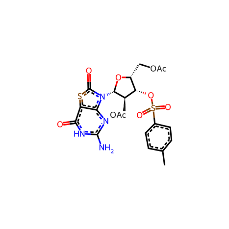 CC(=O)OC[C@H]1O[C@@H](n2c(=O)sc3c(=O)[nH]c(N)nc32)[C@H](OC(C)=O)[C@H]1OS(=O)(=O)c1ccc(C)cc1